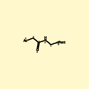 CCCCCCNC(=O)CC(C)=O